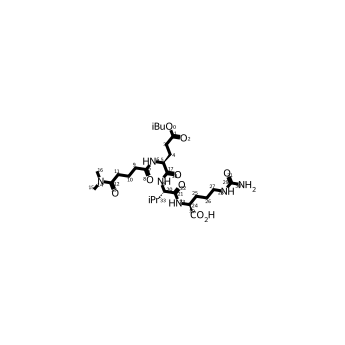 CC(C)COC(=O)CC[C@H](NC(=O)CCCC(=O)N(C)C)C(=O)N[C@H](C(=O)N[C@@H](CCCNC(N)=O)C(=O)O)C(C)C